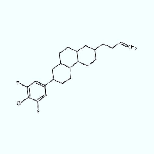 C=CCCC1CCC2C(CCC3CC(c4cc(F)c(Cl)c(F)c4)CCC32)C1